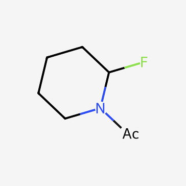 CC(=O)N1CCCCC1F